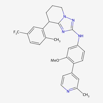 COc1cc(Nc2nc3n(n2)CCCC3c2cc(C(F)(F)F)ccc2C)ccc1-c1ccnc(C)c1